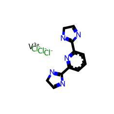 C1=NC(c2cccc(C3=NCC=N3)n2)=NC1.[Cl-].[Cl-].[Cl-].[V+3]